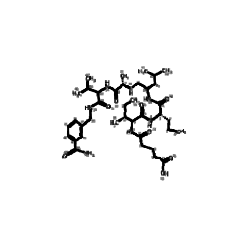 CCC[C@H](NC(=O)[C@@H](NC(=O)CCCC(=O)O)[C@@H](C)CC)C(=O)NC(CN[C@@H](C)C(=O)NC(C(=O)NCc1cccc(C(N)=O)c1)C(C)C)CC(C)C